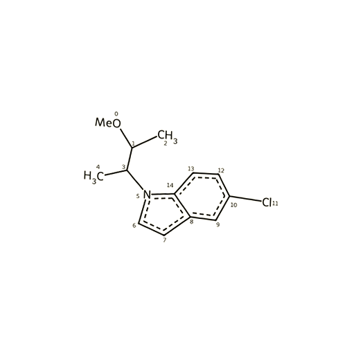 COC(C)C(C)n1ccc2cc(Cl)ccc21